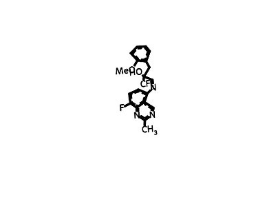 COc1ccccc1CC(O)(/C=N\c1ccc(F)c2nc(C)ncc12)C(F)(F)F